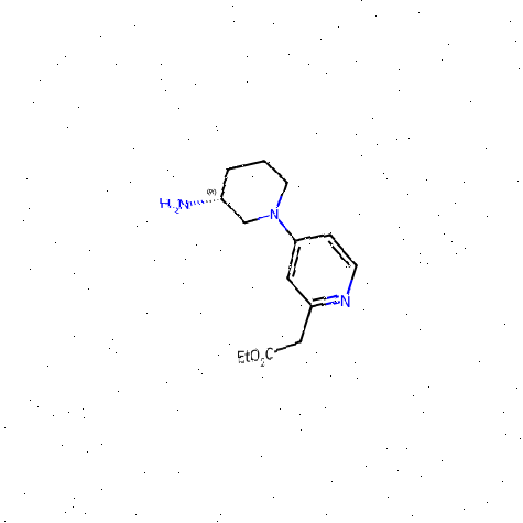 CCOC(=O)Cc1cc(N2CCC[C@@H](N)C2)ccn1